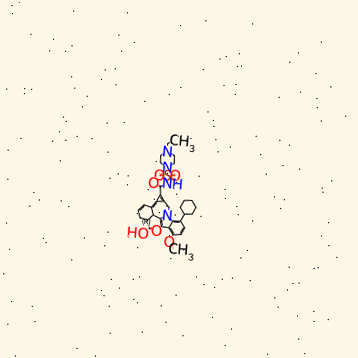 CCN1CCN(S(=O)(=O)NC(=O)C2=C3Cn4c(cc5c(OC)ccc(C6CCCCC6)c54)C4C(=C32)C=CC[C@H]4C(=O)O)CC1